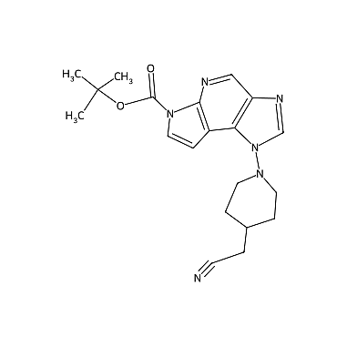 CC(C)(C)OC(=O)n1ccc2c1ncc1ncn(N3CCC(CC#N)CC3)c12